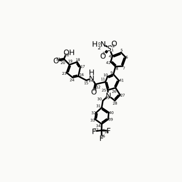 NS(=O)(=O)c1cccc(-c2cc(C(=O)NCc3ccc(C(=O)O)cc3)c3c(ccn3Cc3ccc(C(F)(F)F)cc3)c2)c1